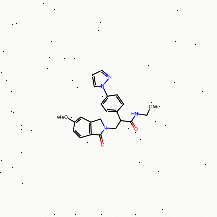 COCNC(=O)C(CN1Cc2cc(OC)ccc2C1=O)c1ccc(-n2cccn2)cc1